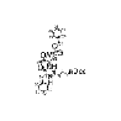 CCCCCCCCCCCCCC(=O)N[C@@H](Cc1ccccc1)C(=O)N[C@H](CCC(=O)OCc1ccccc1)C(=O)OC